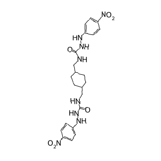 O=C(NCC1CCC(CNC(=O)NNc2ccc([N+](=O)[O-])cc2)CC1)NNc1ccc([N+](=O)[O-])cc1